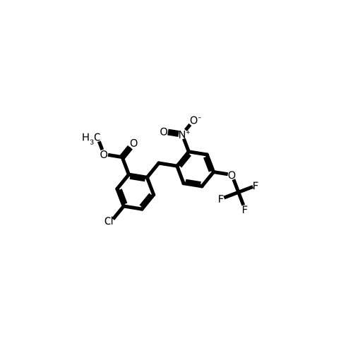 COC(=O)c1cc(Cl)ccc1Cc1ccc(OC(F)(F)F)cc1[N+](=O)[O-]